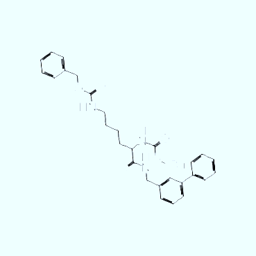 CC(C)(C)OC(=O)NC(CCCCNC(=O)OCc1ccccc1)C(=O)NCc1cccc(-c2ccccc2)c1